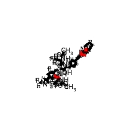 COC(=O)N[C@H](C(=O)N[C@@H](Cc1ccc(C#Cc2ccc(N3C4CCC3CN(C3COC3)C4)nc2)cc1)[C@@H](O)CN(Cc1c(F)cc(-c2cnn(C(F)F)c2)cc1F)NC(=O)[C@@H](NC(=O)OC)C(C)(C)C(F)(F)F)C(C)(C)C(F)(F)F